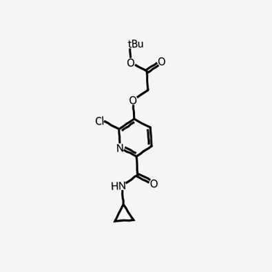 CC(C)(C)OC(=O)COc1ccc(C(=O)NC2CC2)nc1Cl